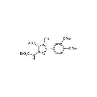 CCOC(=O)Nc1oc(-c2ccc(OC)c(OC)c2)c(O)c1OC(C)=O